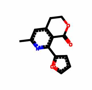 Cc1cc2c(c(-c3ccco3)n1)C(=O)OCC2